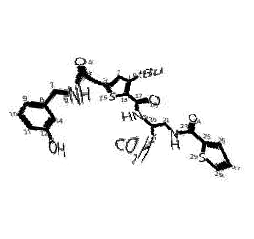 CC(C)(C)c1cc(C(=O)NCc2cccc(O)c2)sc1C(=O)NC(CNC(=O)c1cccs1)C(=O)O